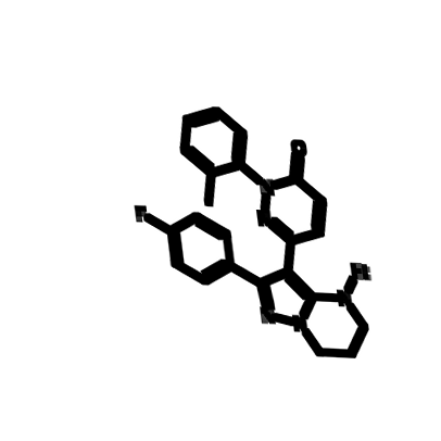 CCN1CCCn2nc(-c3ccc(F)cc3)c(-c3ccc(=O)n(-c4ccccc4C)n3)c21